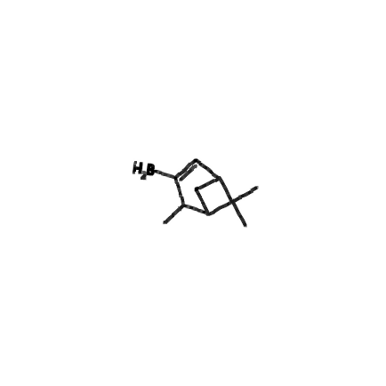 BC1=CC2CC(C1C)C2(C)C